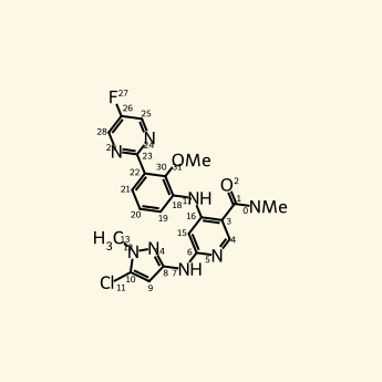 CNC(=O)c1cnc(Nc2cc(Cl)n(C)n2)cc1Nc1cccc(-c2ncc(F)cn2)c1OC